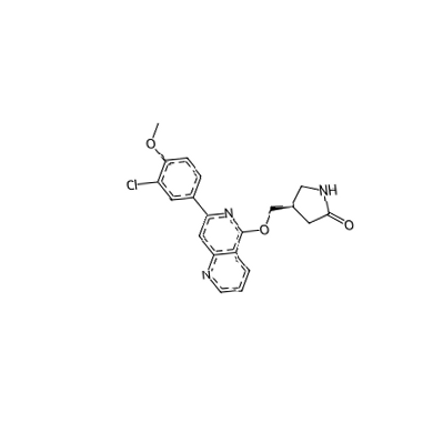 COc1ccc(-c2cc3ncccc3c(OC[C@H]3CNC(=O)C3)n2)cc1Cl